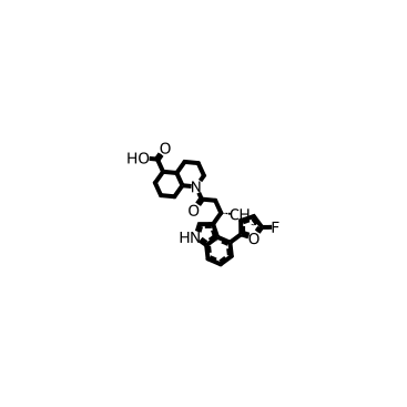 C[C@@H](CC(=O)N1CCCC2C(C(=O)O)CCCC21)c1c[nH]c2cccc(-c3ccc(F)o3)c12